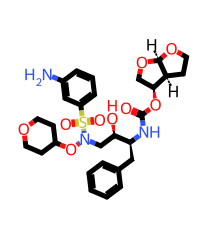 Nc1cccc(S(=O)(=O)N(C[C@@H](O)[C@H](Cc2ccccc2)NC(=O)O[C@H]2CO[C@H]3OCC[C@H]32)OC2CCOCC2)c1